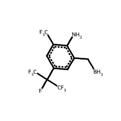 BCc1cc(C(F)(C(F)(F)F)C(F)(F)F)cc(C(F)(F)F)c1N